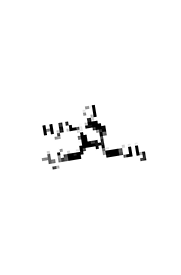 C=Cc1n(C=C)cc[n+]1C.[Cl-]